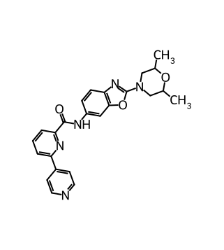 CC1CN(c2nc3ccc(NC(=O)c4cccc(-c5ccncc5)n4)cc3o2)CC(C)O1